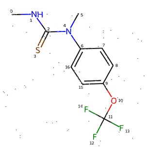 CNC(=S)N(C)c1ccc(OC(F)(F)F)cc1